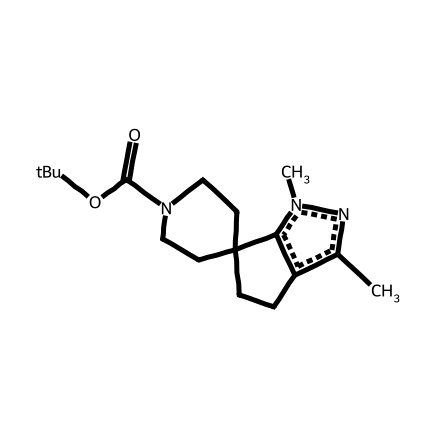 Cc1nn(C)c2c1CCC21CCN(C(=O)OC(C)(C)C)CC1